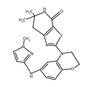 Cn1ccc(Nc2ccc3c(c2)N(c2nc4c(s2)C(=O)NC(C)(C)C4)CCO3)n1